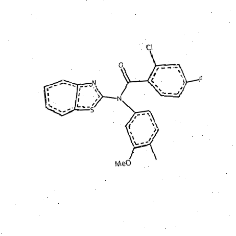 COc1cc(N(C(=O)c2ccc(F)cc2Cl)c2nc3ccccc3s2)ccc1C